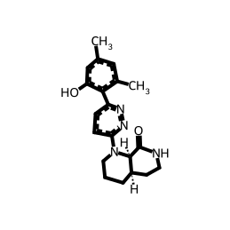 Cc1cc(C)c(-c2ccc(N3CCC[C@@H]4CCNC(=O)[C@@H]43)nn2)c(O)c1